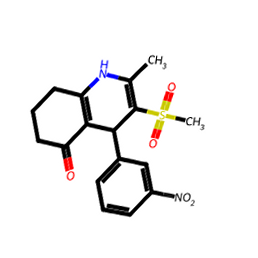 CC1=C(S(C)(=O)=O)C(c2cccc([N+](=O)[O-])c2)C2=C(CCCC2=O)N1